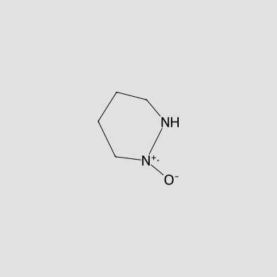 [O-][N+]1CCCCN1